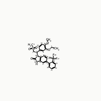 CCOc1cc([C@H](CS(C)(=O)=O)n2c(=O)[nH]c3cc(-c4ccccc4C(F)(F)F)cnc32)ccc1OC